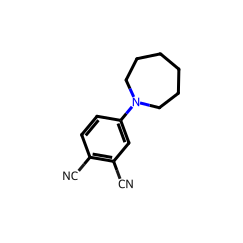 N#Cc1ccc(N2CCCCCC2)cc1C#N